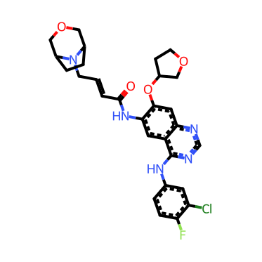 O=C(C=CCN1C2CCC1COC2)Nc1cc2c(Nc3ccc(F)c(Cl)c3)ncnc2cc1OC1CCOC1